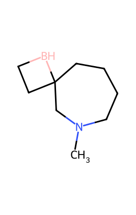 CN1CCCCC2(BCC2)C1